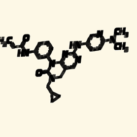 C=CC(=O)Nc1cccc(N2C(=O)N(CC3CC3)Cc3cnc(Nc4ccc(N(C)C)nc4)nc32)c1